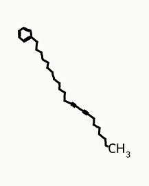 CCCCCCCC#CC#CCCCCCCCCCCCCc1ccccc1